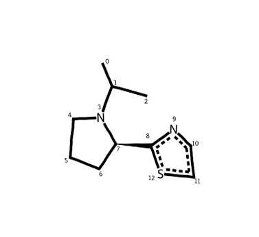 CC(C)N1CCC[C@@H]1c1nccs1